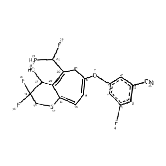 N#Cc1cc(F)cc(OC2=CC=C3SCC(F)(F)C(O)C3=C(C(F)P)C2)c1